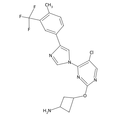 Cc1ccc(-c2cn(-c3nc(OC4CC(N)C4)ncc3Cl)cn2)cc1C(F)(F)F